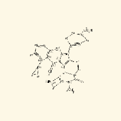 CN(C(=O)C1CCc2c(C3=CCC(C(=O)O)CC3)nn(C(=O)c3c(Cl)cccc3C3CC3)c2C1)C1CNC1